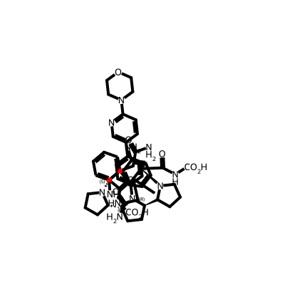 CC1(CC(N)=O)c2ccc(c(N)c2)[C@@]1(C(=O)NC(=O)O)N1CCCC1[C@H]1CC[C@H](C2CCCN2[C@]2(C(=O)NC(=O)O)c3ccc(cc3N)C2(C)CC(N)=O)N1c1ccc(-c2ccc(N3CCOCC3)nc2)cc1